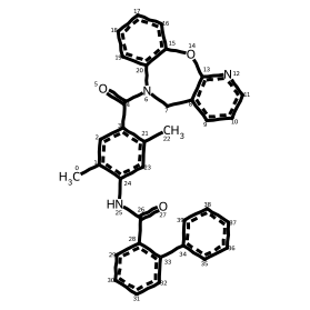 Cc1cc(C(=O)N2Cc3cccnc3Oc3ccccc32)c(C)cc1NC(=O)c1ccccc1-c1ccccc1